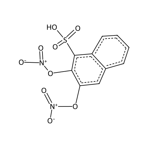 O=[N+]([O-])Oc1cc2ccccc2c(S(=O)(=O)O)c1O[N+](=O)[O-]